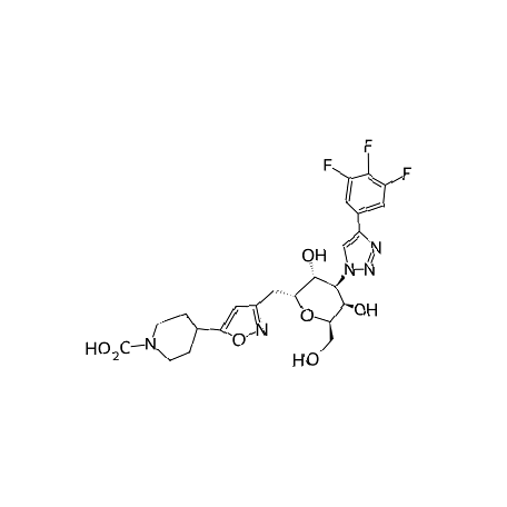 O=C(O)N1CCC(c2cc(C[C@H]3O[C@H](CO)[C@H](O)[C@H](n4cc(-c5cc(F)c(F)c(F)c5)nn4)[C@H]3O)no2)CC1